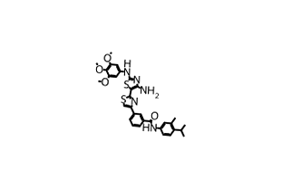 COc1cc(Nc2nc(N)c(-c3nc(-c4cccc(C(=O)Nc5ccc(C(C)C)c(C)c5)c4)cs3)s2)cc(OC)c1OC